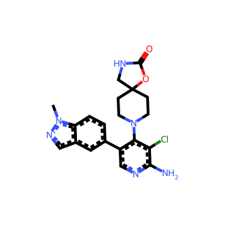 Cn1ncc2cc(-c3cnc(N)c(Cl)c3N3CCC4(CC3)CNC(=O)O4)ccc21